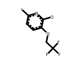 FC(F)(F)COc1ccc(I)nc1Cl